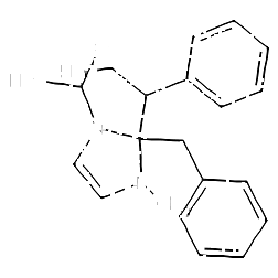 CCC(c1ccccc1)C1(Cc2ccccc2)N(C)C=CN1C(C)C